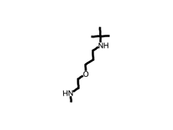 CNCCOCCCNC(C)(C)C